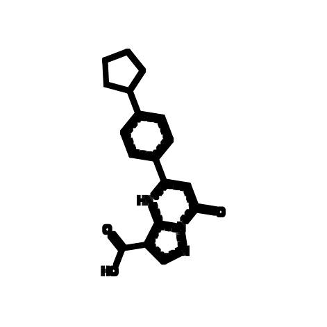 O=C(O)c1cnn2c(=O)cc(-c3ccc(C4CCCC4)cc3)[nH]c12